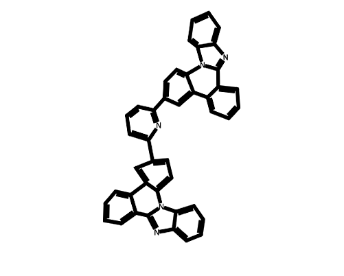 c1cc(-c2ccc3c(c2)c2ccccc2c2nc4ccccc4n32)nc(-c2ccc3c(c2)c2ccccc2c2nc4ccccc4n32)c1